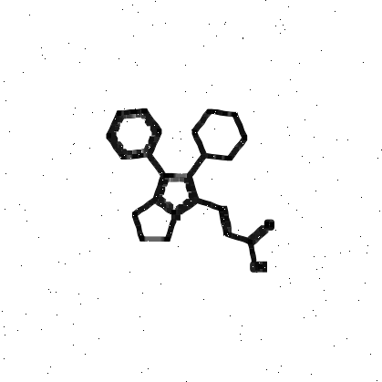 O=C(O)/C=C/c1c(C2CCCCC2)c(-c2ccccc2)c2n1CCC2